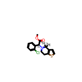 [2H]C1([2H])c2ccsc2CCN1[C@H](C(=O)OC)c1ccccc1Cl